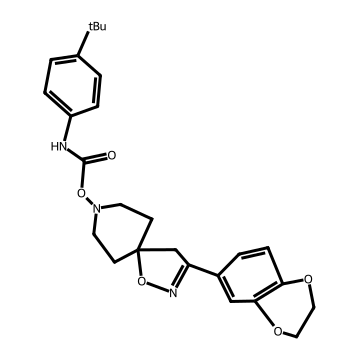 CC(C)(C)c1ccc(NC(=O)ON2CCC3(CC2)CC(c2ccc4c(c2)OCCO4)=NO3)cc1